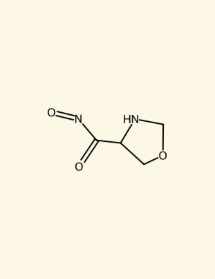 O=NC(=O)C1COCN1